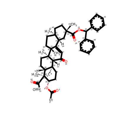 CCC(=O)O[C@H]1CC[C@@]2(C)[C@@H](CC[C@]3(C)[C@@H]2C(=O)C=C2[C@@H]4C[C@@](C)(C(=O)OC(c5ccccc5)c5ccccc5)CC[C@]4(C)CC[C@]23C)[C@]1(C)C(=O)OC